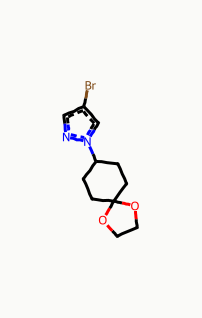 Brc1cnn(C2CCC3(CC2)OCCO3)c1